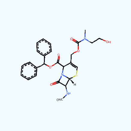 CN(CCO)C(=O)OCC1=CS[C@@H]2C(NC=O)C(=O)N2C1C(=O)OC(c1ccccc1)c1ccccc1